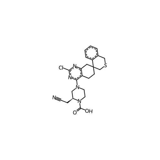 N#CC[C@H]1CN(c2nc(Cl)nc3c2CCC2(CSCc4ccccc42)C3)CCN1C(=O)O